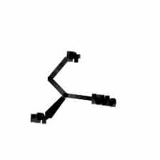 CCC[C@@H](CC(C)C)NC